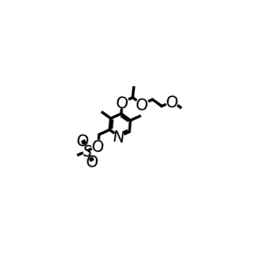 COCCOC(C)Oc1c(C)cnc(COS(C)(=O)=O)c1C